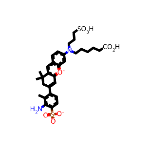 Cc1c(C2=Cc3[o+]c4cc(N(CCCCCC(=O)O)CCCS(=O)(=O)O)ccc4cc3C(C)(C)C2)ccc(S(=O)(=O)[O-])c1N